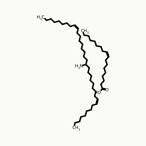 CCCCCCCC/C=C\CCCCCCCC(=O)O.CCCCCCCC/C=C\CCCCCCCCC(N)CCCCCCCC/C=C\CCCCCCCC